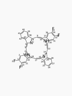 Fc1cc2c3cc4nc(cc5[nH]c(cc6nc(cc([nH]3)c2cc1F)-c1ccccc1-6)c1cc(F)c(F)cc51)-c1ccccc1-4